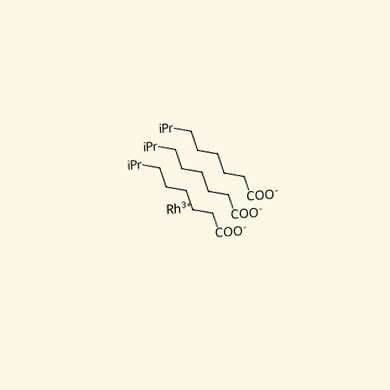 CC(C)CCCCCC(=O)[O-].CC(C)CCCCCC(=O)[O-].CC(C)CCCCCC(=O)[O-].[Rh+3]